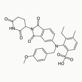 CCc1c(C)ccc(S(=O)(=O)O)c1N(Cc1ccc(OC)cc1)c1ccc2c(c1)C(=O)N(C1CCC(=O)NC1=O)C2=O